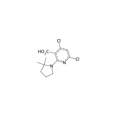 CC1(C)CCCN1c1nc(Cl)cc(Cl)c1C(=O)O